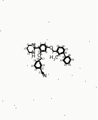 Cc1c(COc2ccc(C3=NCCCN3)c(OCc3cccc(C#N)c3)c2)cccc1-c1ccccc1